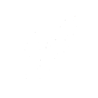 Cc1ccc(C2(c3ccccc3)c3cc(-c4ccc(Br)cc4)ccc3-c3ccc(-c4ccc(Br)cc4)cc32)cc1